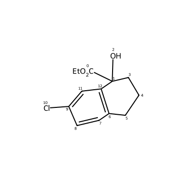 CCOC(=O)C1(O)CCCc2ccc(Cl)cc21